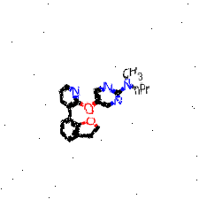 CCCN(C)c1ncc(Oc2ncccc2-c2cccc3c2OCC3)cn1